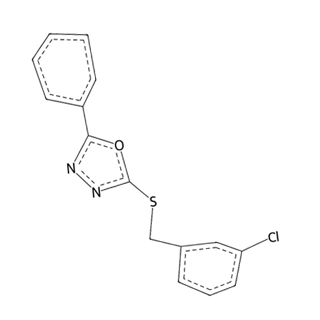 Clc1cccc(CSc2nnc(-c3ccccc3)o2)c1